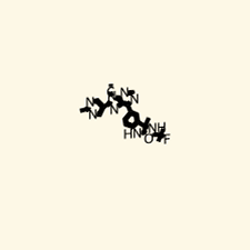 CCn1c(-c2cnc(C)nc2)nc2c(-c3ccc4c(c3)C(C)(NCC(C)(C)F)C(=O)N4)ncnc21